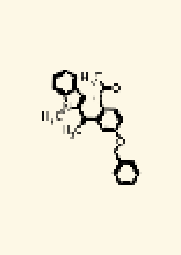 C=C(c1cc(OCc2ccccc2)ccc1OC(C)=O)c1cc2ccccc2n1C